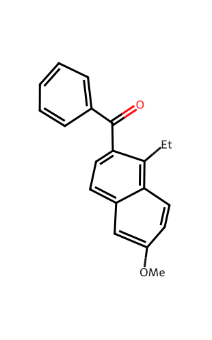 CCc1c(C(=O)c2ccccc2)ccc2cc(OC)ccc12